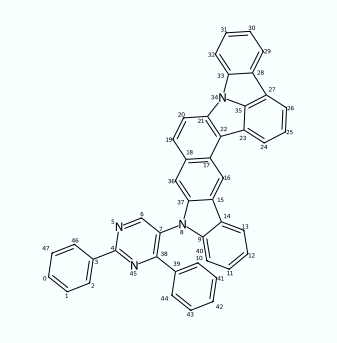 c1ccc(-c2ncc(-n3c4ccccc4c4cc5c(ccc6c5c5cccc7c8ccccc8n6c75)cc43)c(-c3ccccc3)n2)cc1